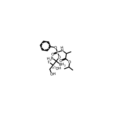 BC(B)(OP(=O)(NC(C)C(=O)OC(C)C)Oc1ccccc1)[C@](O)(F)CO